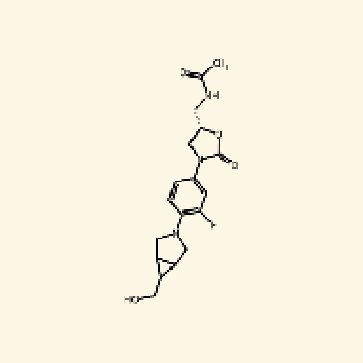 CC(=O)NC[C@H]1CN(c2ccc(N3CC4C(CO)C4C3)c(F)c2)C(=O)O1